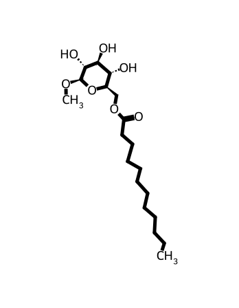 CCCCCCCCCCCC(=O)OC[C@H]1O[C@@H](OC)[C@H](O)[C@@H](O)[C@@H]1O